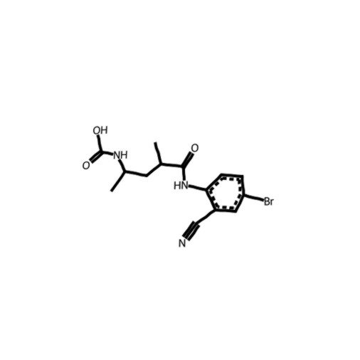 CC(CC(C)C(=O)Nc1ccc(Br)cc1C#N)NC(=O)O